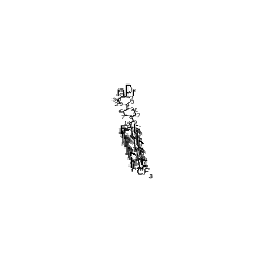 CCC[C@H]1CC[C@H](C2CCC(CCC(F)(F)C(F)(F)C(F)(F)C(F)(F)C(F)(F)C(F)(F)F)CC2)CC1